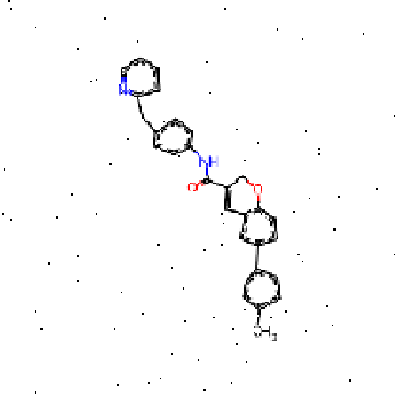 Cc1ccc(-c2ccc3c(c2)C=C(C(=O)Nc2ccc(Cc4ccccn4)cc2)CO3)cc1